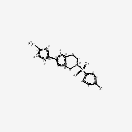 O=S(=O)(c1ccc(Cl)cc1)N1CCc2sc(-c3noc(C(F)(F)F)n3)cc2C1